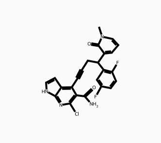 Cn1cccc(C(CC#Cc2c(C(N)=O)c(Cl)nc3[nH]ccc23)c2cc(F)ccc2F)c1=O